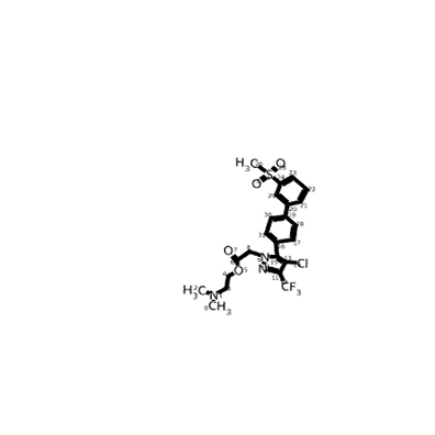 CN(C)CCOC(=O)Cn1nc(C(F)(F)F)c(Cl)c1-c1ccc(-c2cccc(S(C)(=O)=O)c2)cc1